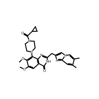 COc1cc2c(=O)[nH]c(Cc3cn4cc(C)c(C)cc4n3)nc2c(N2CCN(C(=O)C3CC3)CC2)c1OC